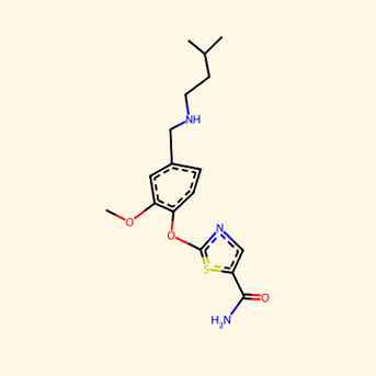 COc1cc(CNCCC(C)C)ccc1Oc1ncc(C(N)=O)s1